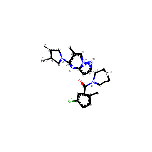 Cc1ccc(Br)cc1C(=O)N1CCCC[C@H]1c1cc2nc(N3C[C@@H](C#N)[C@@H](C)C3)c(C)cn2n1